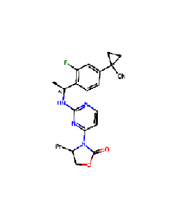 CC(C)C1COC(=O)N1c1ccnc(N[C@@H](C)c2ccc(C3(C#N)CC3)cc2F)n1